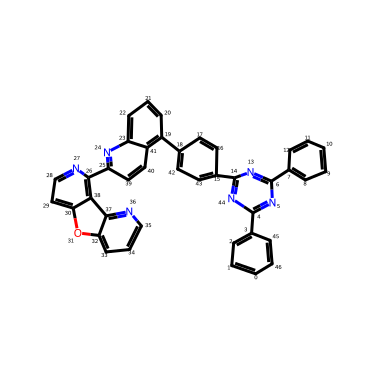 c1ccc(-c2nc(-c3ccccc3)nc(-c3ccc(-c4cccc5nc(-c6nccc7oc8cccnc8c67)ccc45)cc3)n2)cc1